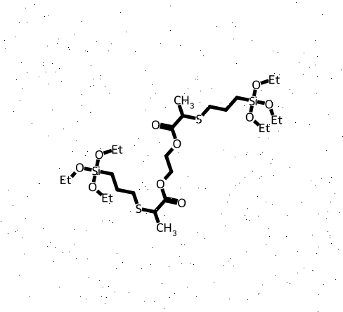 CCO[Si](CCCSC(C)C(=O)OCCOC(=O)C(C)SCCC[Si](OCC)(OCC)OCC)(OCC)OCC